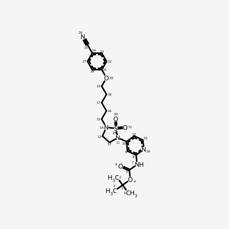 CC(C)(C)OC(=O)Nc1cc(N2CCN(CCCCCOc3ccc(C#N)cc3)S2(=O)=O)ccn1